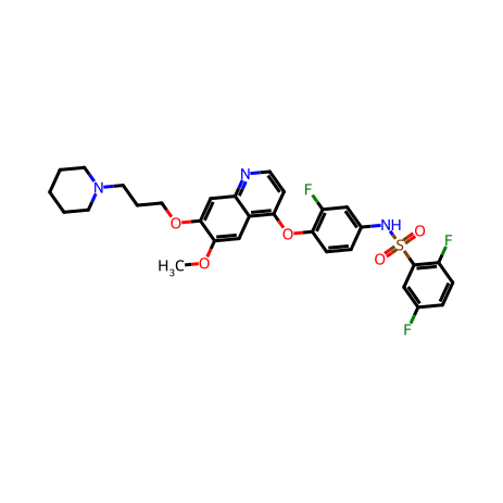 COc1cc2c(Oc3ccc(NS(=O)(=O)c4cc(F)ccc4F)cc3F)ccnc2cc1OCCCN1CCCCC1